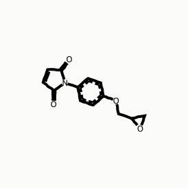 O=C1C=CC(=O)N1c1ccc(OCC2CO2)cc1